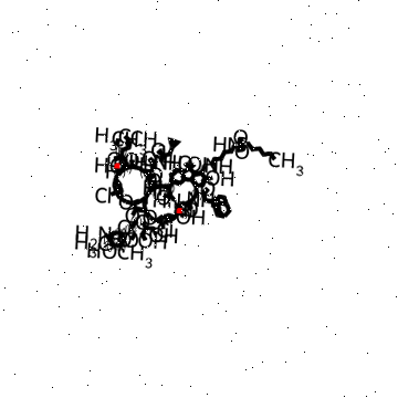 CCCCCCS(=O)(=O)NCCCCNCc1c(O)cc2c3c1C(O)(O)c1ccc(cc1-3)[C@H]1CC(=O)[C@@H]3NC(=O)[C@H](CC(=O)NC(=O)CC4CC4)CC(=O)[C@H](NC(=O)[C@H](CC)CC(C)C)[C@H](O)c4ccc(c(Cl)c4)Oc4cc3cc(c4O[C@H](OC(CO)CO)[C@@H](CO)O[C@H]3C[C@](C)(N)[C@H](O)[C@H](C)O3)Oc3ccc(cc3Cl)[C@@H](O)[C@H](NC1=O)C(=O)N[C@@H]2C(=O)CC1C2CC3CC(C2)CC1C3